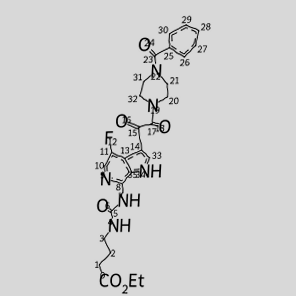 CCOC(=O)CCCNC(=O)Nc1ncc(F)c2c(C(=O)C(=O)N3CCN(C(=O)c4ccccc4)CC3)c[nH]c12